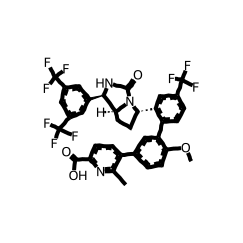 COc1ccc(-c2ccc(C(=O)O)nc2C)cc1-c1ccc(C(F)(F)F)cc1[C@@H]1CC[C@H]2[C@@H](c3cc(C(F)(F)F)cc(C(F)(F)F)c3)NC(=O)N12